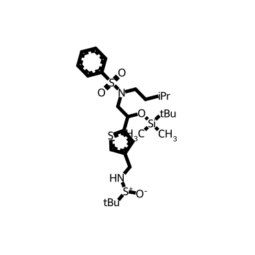 CC(C)CCN(CC(O[Si](C)(C)C(C)(C)C)c1cc(CN[S+]([O-])C(C)(C)C)cs1)S(=O)(=O)c1ccccc1